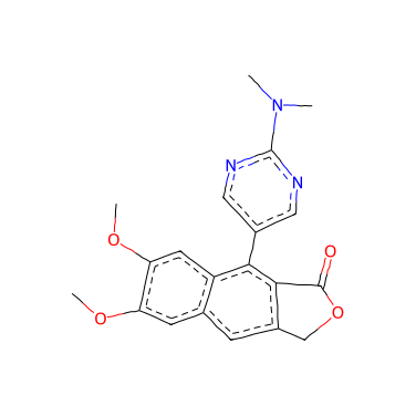 COc1cc2cc3c(c(-c4cnc(N(C)C)nc4)c2cc1OC)C(=O)OC3